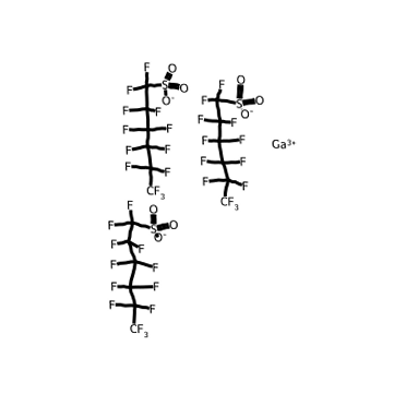 O=S(=O)([O-])C(F)(F)C(F)(F)C(F)(F)C(F)(F)C(F)(F)C(F)(F)F.O=S(=O)([O-])C(F)(F)C(F)(F)C(F)(F)C(F)(F)C(F)(F)C(F)(F)F.O=S(=O)([O-])C(F)(F)C(F)(F)C(F)(F)C(F)(F)C(F)(F)C(F)(F)F.[Ga+3]